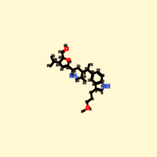 COCCCc1c[nH]c2ccc(C(C)C(CC(N)C3=CC(C(C)C)C(C=O)O3)C(C)C)cc12